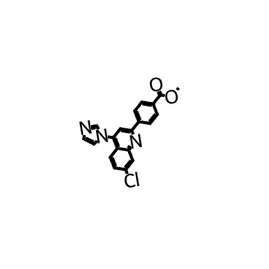 COC(=O)c1ccc(-c2cc(-n3ccnc3)c3ccc(Cl)cc3n2)cc1